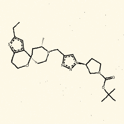 CCc1cc2c(s1)CCO[C@@]21CCN(Cc2cn([C@H]3CCN(C(=O)OC(C)(C)C)C3)nn2)[C@@H](C)C1